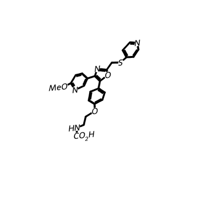 COc1ccc(-c2nc(CSc3ccncc3)oc2-c2ccc(OCCNC(=O)O)cc2)cn1